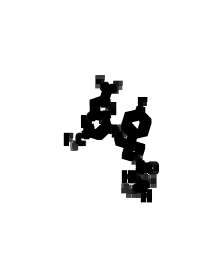 [2H]C([2H])([2H])NC(=O)N1CC(CNc2cc(C(F)(F)F)nc3cc(C(F)F)nn23)(c2ccc(F)cc2)C1